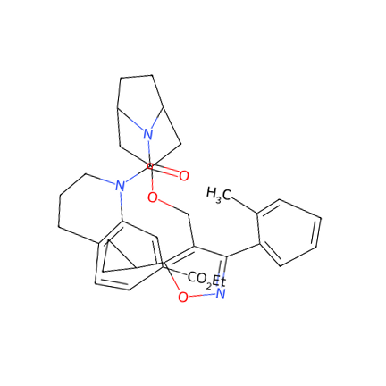 CCOC(=O)c1ccc2c(c1)N(C(=O)N1C3CCC1CC(OCc1c(-c4ccccc4C)noc1C1CC1)C3)CCC2